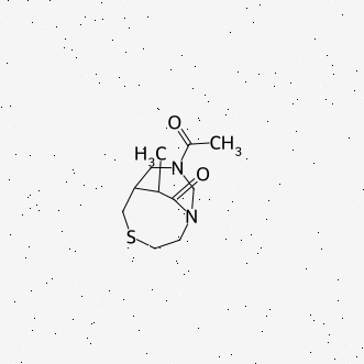 CC(=O)N1CC2CSCCN(C1)C(=O)C2C